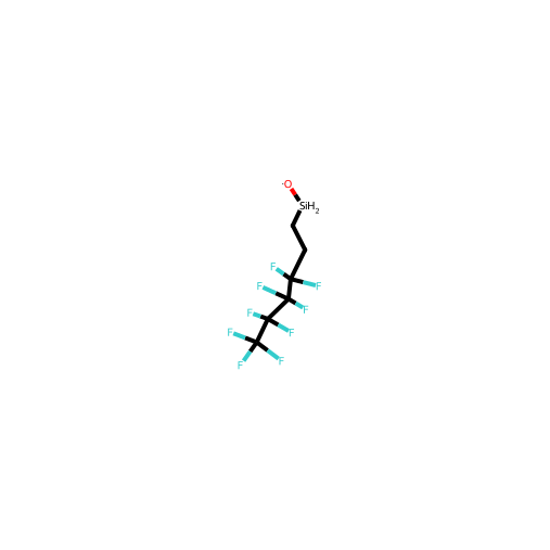 [O][SiH2]CCC(F)(F)C(F)(F)C(F)(F)C(F)(F)F